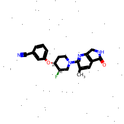 Cc1cc2c(nc1N1CC[C@@H](Oc3cccc(C#N)c3)[C@H](F)C1)CNC2=O